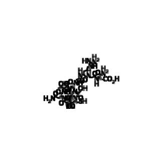 CC[C@H](C)[C@H](NC(=O)[C@H](CS)NC(=O)[C@@H](N)CO)C(=O)N[C@@H](CC(N)=O)C(=O)N[C@H](C(=O)N1CCC[C@H]1C(=O)NCC(=O)N[C@@H](CCCNC(=N)N)C(=O)NCC(=O)N[C@@H](CC(=O)O)C(N)=O)[C@@H](C)O